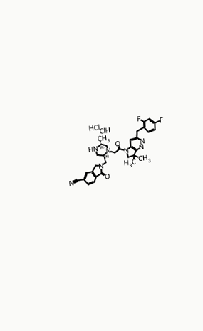 C[C@@H]1CN(CC(=O)N2CC(C)(C)c3nnc(Cc4ccc(F)cc4F)cc32)[C@@H](CN2Cc3cc(C#N)ccc3C2=O)CN1.Cl.Cl